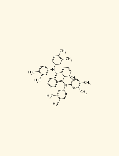 CC1=C(C)CC(N(C2=c3ccccc3=C(N(c3ccc(C)c(C)c3)c3ccc(C)c(C)c3)C3C2=CC=CC3C)c2ccc(C)c(C)c2)C=C1